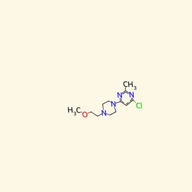 COCCN1CCN(c2cc(Cl)nc(C)n2)CC1